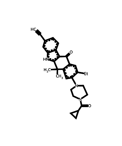 C#Cc1ccc2c3c([nH]c2c1)C(C)(C)c1cc(N2CCN(C(=O)C4CC4)CC2)c(CC)cc1C3=O